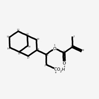 C=C(C)C(=O)OC(CC(=O)O)C1CC2CCCC(C2)C1